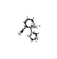 Cl.N#Cc1cccnc1-n1cncn1